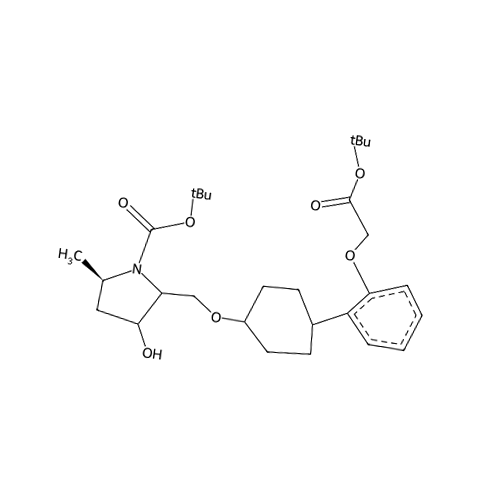 C[C@@H]1CC(O)C(COC2CCC(c3ccccc3OCC(=O)OC(C)(C)C)CC2)N1C(=O)OC(C)(C)C